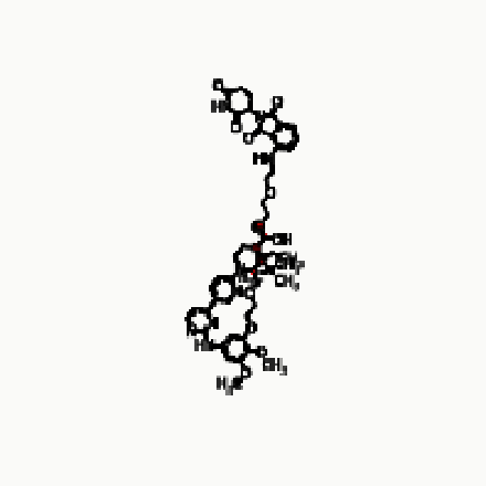 CCC1(C(C)(C)C)CN(c2ccc(-c3ccnc(Nc4cc(OC)c(OC)c(OCCOCCOCCOCCOCCNc5cccc6c5C(=O)N(C5CCC(=O)NC5=O)C6=O)c4)n3)cn2)CCN1C(=O)O